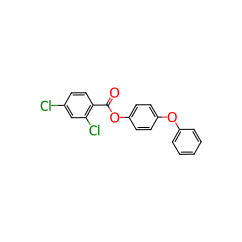 O=C(Oc1ccc(Oc2ccccc2)cc1)c1ccc(Cl)cc1Cl